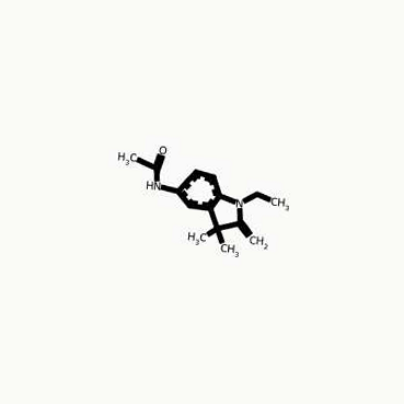 C=C1N(CC)c2ccc(NC(C)=O)cc2C1(C)C